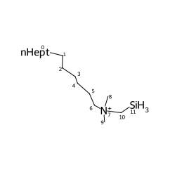 CCCCCCCCCCCCC[N+](C)(C)C[SiH3]